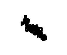 O=C(NCc1ccc(F)cc1F)N1CCC(O)(Cn2cnc(-c3ccccc3)cc2=O)C2(CCCC2)C1